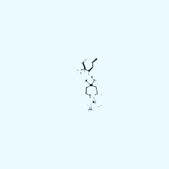 C=C/C=C(\C(N)=C/C)N1CC2(CCN(C(=O)OC(C)(C)C)CC2)C1